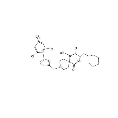 CCCN1C(=O)C(CC2CCCCC2)NC(=O)C12CCN(Cc1ccc(-c3c(Cl)cc(C(F)(F)F)cc3Cl)o1)CC2